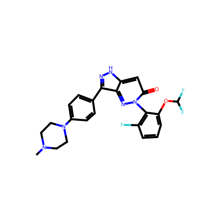 CN1CCN(c2ccc(-c3n[nH]c4cc(=O)n(-c5c(F)cccc5OC(F)F)nc34)cc2)CC1